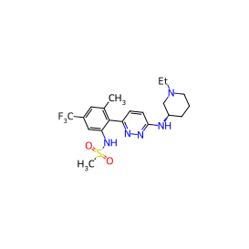 CCN1CCC[C@@H](Nc2ccc(-c3c(C)cc(C(F)(F)F)cc3NS(C)(=O)=O)nn2)C1